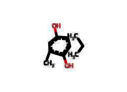 CCC.Cc1cc(O)ccc1O